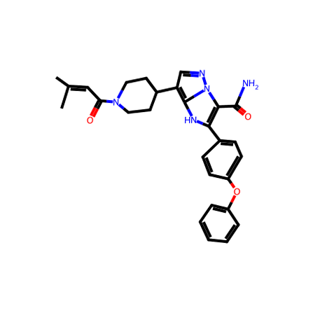 CC(C)=CC(=O)N1CCC(c2cnn3c(C(N)=O)c(-c4ccc(Oc5ccccc5)cc4)[nH]c23)CC1